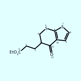 CCOC(=O)CCC1CSc2sccc2C1=O